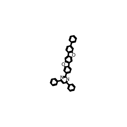 c1ccc(-c2ccc3c(c2)oc2cc4c(cc23)oc2cc(-c3nc(-c5ccccc5)cc(-c5ccccc5)n3)ccc24)cc1